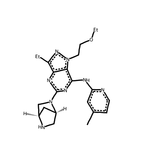 CCOCCn1nc(CC)c2nc(N3C[C@H]4C[C@@H]3CN4)nc(Nc3cc(C)ccn3)c21